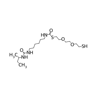 CCC(C)NC(=O)NCCCCCCNC(=O)SCCOCCOCCS